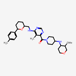 COC1COCCC1NC1CCN(C(=O)c2ncnc(NCC3CCCC(c4ccc(C)cc4)O3)c2C)CC1